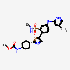 CCNS(=O)(=O)c1cc(Nc2cc(C)cnn2)ccc1-c1cnc([C@H]2CC[C@H](NC(=O)OC(C)C)CC2)s1